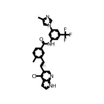 Cc1cn(-c2cc(NC(=O)c3ccc(C)c(/C=C/c4cnc5[nH]ccc5c4Cl)c3)cc(C(F)(F)F)c2)cn1